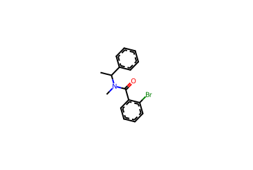 CC(c1ccccc1)N(C)C(=O)c1ccccc1Br